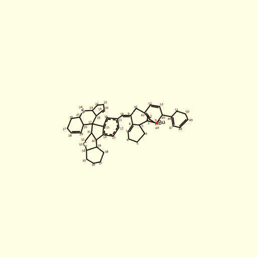 CCCCC(C)C1CCCC=C1/C(=C\c1ccc2c(c1)C1(C3C=CCCC3SC3CCC=CC31)C1CCC3CCCCC3C21)CC1=CCC(C2=CC=CCC2)C=C1